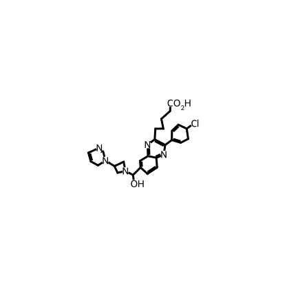 O=C(O)CCCCc1nc2cc(C(O)N3CC(N4C=NC=CC4)C3)ccc2nc1C1=CCC(Cl)C=C1